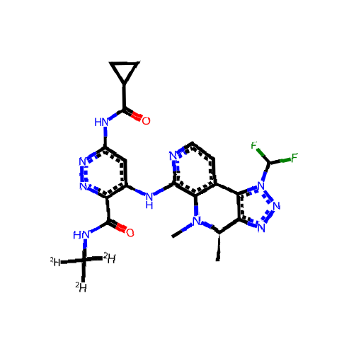 [2H]C([2H])([2H])NC(=O)c1nnc(NC(=O)C2CC2)cc1Nc1nccc2c1N(C)[C@H](C)c1nnn(C(F)F)c1-2